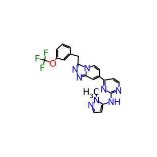 Cn1nccc1Nc1nccc(-c2ccn3c(Cc4cccc(OC(F)(F)F)c4)nnc3c2)n1